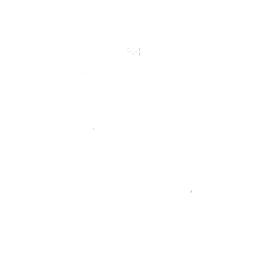 BC1C=C2C(=CC1)c1ccccc1C2(c1ccccc1)c1ccccc1